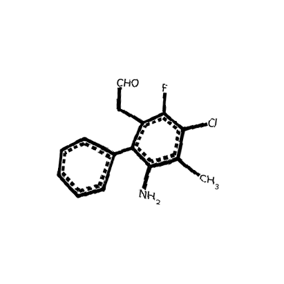 Cc1c(N)c(-c2ccccc2)c(CC=O)c(F)c1Cl